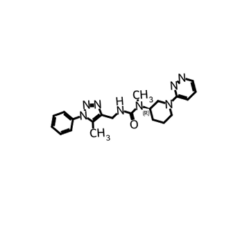 Cc1c(CNC(=O)N(C)[C@@H]2CCCN(c3cccnn3)C2)nnn1-c1ccccc1